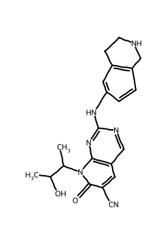 CC(O)C(C)n1c(=O)c(C#N)cc2cnc(Nc3ccc4c(c3)CCNC4)nc21